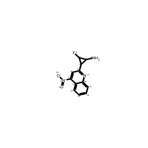 NC1C(F)C1c1cc([N+](=O)[O-])c2ccccc2n1